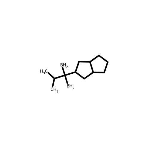 BC(B)(C(C)C)C1CC2CCCC2C1